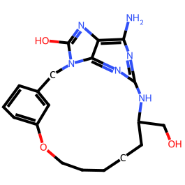 Nc1nc2nc3c1nc(O)n3Cc1cccc(c1)OCCCCCC(CO)N2